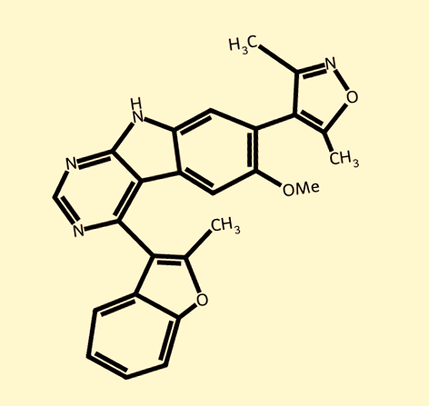 COc1cc2c(cc1-c1c(C)noc1C)[nH]c1ncnc(-c3c(C)oc4ccccc34)c12